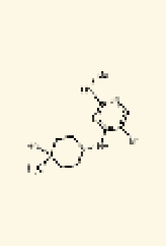 CCCCNc1ncc(Br)c(N[C@H]2CC[C@@](C)(O)CC2)n1